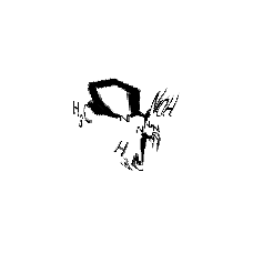 Cc1cccc(/C(=N/O)n2nnc(C)n2)n1